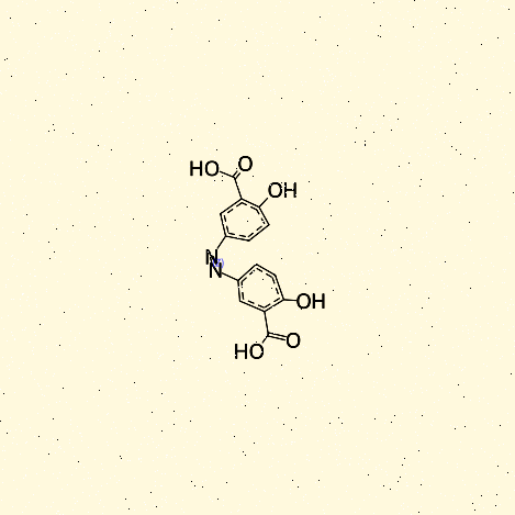 O=C(O)c1cc(/N=N\c2ccc(O)c(C(=O)O)c2)ccc1O